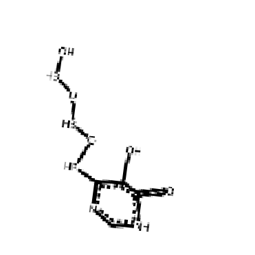 O=c1[nH]cnc(BOBOBO)c1O